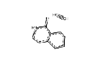 C#C.O=c1[nH]ccc2ccccc12